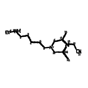 CCNCCCCCN1CC(C)N(CC#N)C(C)C1